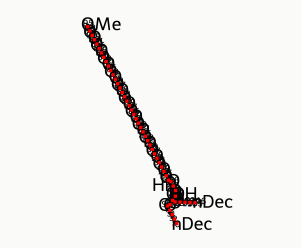 CCCCCCCCCCCCCCCCCC(=O)OCC(COP(=O)(O)OCCNC(=O)CCOCCOCCOCCOCCOCCOCCOCCOCCOCCOCCOCCOCCOCCOCCOCCOCCOCCOCCOCCOCCOCCOCCOCCOC)OC(=O)CCCCCCCCCCCCCCCCC